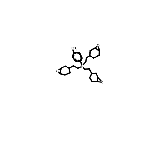 Cc1ccc([Si](CCC2CCC3OC3C2)(CCC2CCC3OC3C2)CCC2CCC3OC3C2)cc1